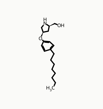 CCCCCCCCc1ccc(O[C@H]2CN[C@@H](CO)C2)cc1